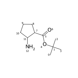 CC(C)(C)OC(=O)C1CCCC1N